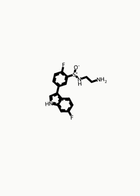 NCCN[S+]([O-])c1cc(-c2c[nH]c3cc(F)ccc23)ccc1F